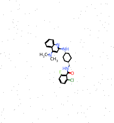 CN(C)c1cc(N[C@H]2CC[C@@H](CNC(=O)c3c(F)cccc3Cl)CC2)nc2ccccc12